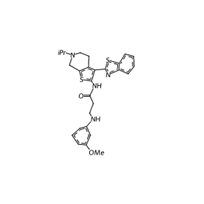 COc1cccc(NCCC(=O)Nc2sc3c(c2-c2nc4ccccc4s2)CCN(C(C)C)C3)c1